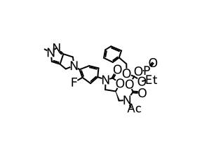 CCOC(OCc1ccccc1)(OP=O)OC(=O)N(C[C@H]1CN(c2ccc(N3Cc4cn(C)nc4C3)c(F)c2)C(=O)O1)C(C)=O